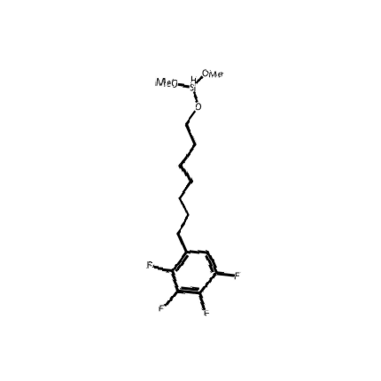 CO[SiH](OC)OCCCCCCCc1cc(F)c(F)c(F)c1F